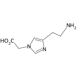 NCCc1cn(CC(=O)O)cn1